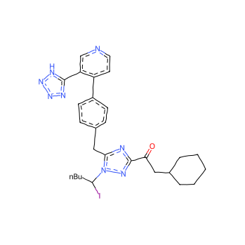 CCCCC(I)n1nc(C(=O)CC2CCCCC2)nc1Cc1ccc(-c2ccncc2-c2nnn[nH]2)cc1